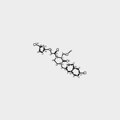 COC[C@H]1C(=O)N(Cc2cc3ccc(Cl)cc3cn2)CCN1C(=O)COc1ccc(Cl)s1